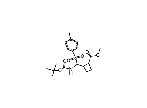 COC(=O)C1CCC1C(NC(=O)OC(C)(C)C)S(=O)(=O)c1ccc(C)cc1